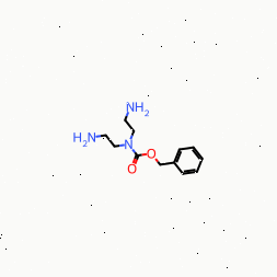 NCCN(CCN)C(=O)OCc1ccccc1